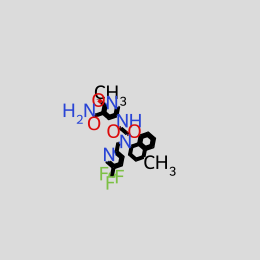 COc1ncc(NC(=O)C(=O)N(Cc2ccc(C(F)(F)F)cn2)C2CCC(C)c3ccccc32)cc1C(N)=O